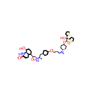 CC(Cc1ccc(OCCCN(C)[C@H]2CC[C@H](OC(=O)C(O)(c3cccs3)c3cccs3)CC2)cc1)NC[C@H](O)c1ccc(O)c2[nH]c(=O)ccc12